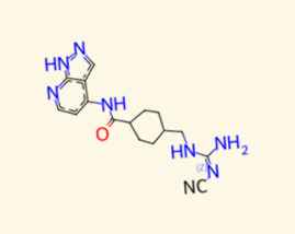 N#C/N=C(/N)NCC1CCC(C(=O)Nc2ccnc3[nH]ncc23)CC1